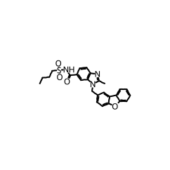 CCCCS(=O)(=O)NC(=O)c1ccc2nc(C)n(Cc3ccc4oc5ccccc5c4c3)c2c1